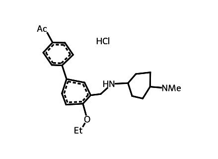 CCOc1ccc(-c2ccc(C(C)=O)cc2)cc1CNC1CCC(NC)CC1.Cl